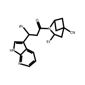 CCC1CC2(C#N)CC(C2)N1C(=O)CC(c1c[nH]c2ncccc12)C(C)C